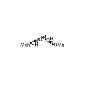 CNCOCNCOCN(C)COCNCOC